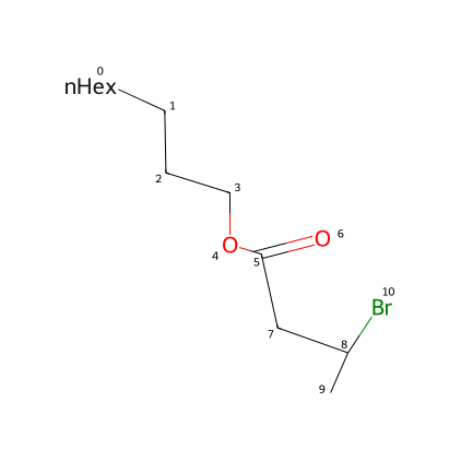 CCCCCCCCCOC(=O)CC(C)Br